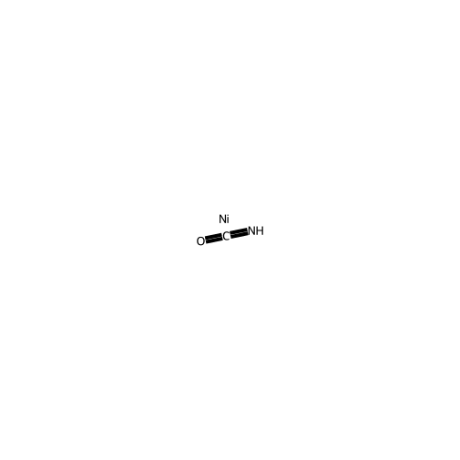 N=C=O.[Ni]